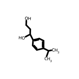 CC(C)c1ccc(C(O)CCO)cc1